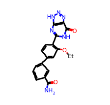 CCOc1cc(-c2cccc(C(N)=O)c2)ccc1-c1nc2[nH]nnc2c(=O)[nH]1